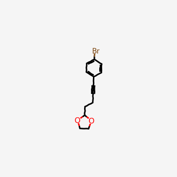 Brc1ccc(C#CCCC2OCCO2)cc1